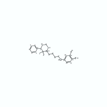 CC1(C)C(c2ccccc2)[CH]CCN1CCCCOc1ccc(F)c(F)c1